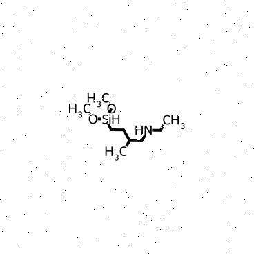 CCNCC(C)CC[SiH](OC)OC